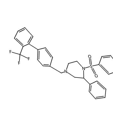 O=S(=O)(c1ccccc1)N1CCN(Cc2ccc(-c3ccccc3C(F)(F)F)cc2)CC1c1ccccc1